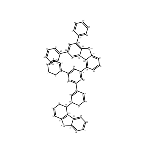 C1=CCCC(c2nc(C3=CC(C4CC=Cc5oc6ccccc6c54)CC=C3)nc(-c3cccc4oc5c(-c6ccccc6)cc(-c6ccccc6)cc5c34)n2)=C1